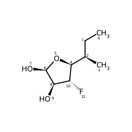 CC[C@@H](C)[C@@H]1O[C@H](O)[C@H](O)[C@H]1F